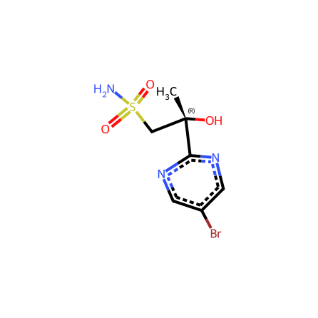 C[C@](O)(CS(N)(=O)=O)c1ncc(Br)cn1